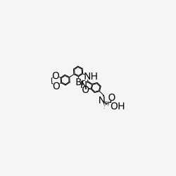 C[C@H](N=Cc1ccc2c(Nc3cccc(-c4ccc5c(c4)OCCO5)c3Br)noc2c1)C(=O)O